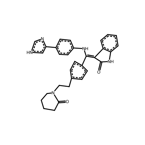 O=C1Nc2ccccc2C1=C(Nc1ccc(-c2c[nH]cn2)cc1)c1ccc(CCN2CCCCC2=O)cc1